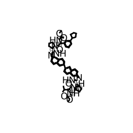 COC(=O)N[C@H](C(=O)N1[C@@H]2CC[C@@H](C2)[C@H]1c1nc2ccc3cc(-c4ccc5c(ccc6nc([C@@H]7CCCN7C(=O)[C@H](NC(=O)OC)c7cccc(C8CCCC8)c7)[nH]c65)c4)ccc3c2[nH]1)C(C)C